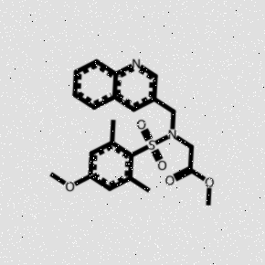 COC(=O)CN(Cc1cnc2ccccc2c1)S(=O)(=O)c1c(C)cc(OC)cc1C